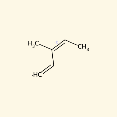 [CH]=C/C(C)=C\C